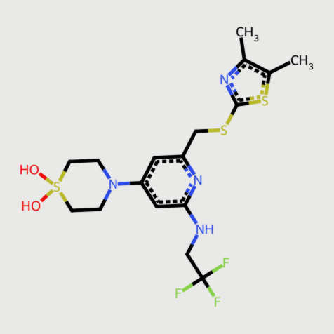 Cc1nc(SCc2cc(N3CCS(O)(O)CC3)cc(NCC(F)(F)F)n2)sc1C